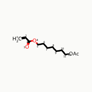 C=CC(=O)OCCCCCCCOC(C)=O